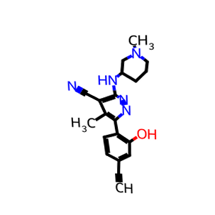 C#Cc1ccc(-c2nnc(NC3CCCN(C)C3)c(C#N)c2C)c(O)c1